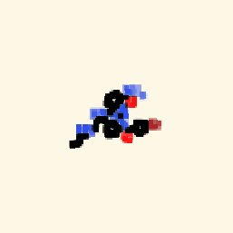 C=CCCNCCC(Nc1ncnc2c(C(N)=O)cccc12)c1cccc(NC(=O)c2ccc(Br)cc2)c1